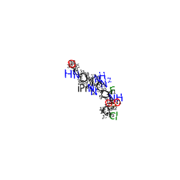 CC(C)n1nc(-c2ccc(NS(=O)(=O)Cc3ccccc3Cl)c(F)c2)c2c(N)ncc(C3=CC[C@H](NC4COC4)CC3)c21